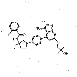 CC(C)(O)COc1cc(-c2ccc(N3CCC(C)(NC(=O)c4ncccc4F)C3)nc2)c2c(C#N)cnn2c1